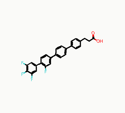 O=C(O)CCc1ccc(-c2ccc(-c3ccc(-c4cc(F)c(F)c(F)c4)c(F)c3)cc2)cc1